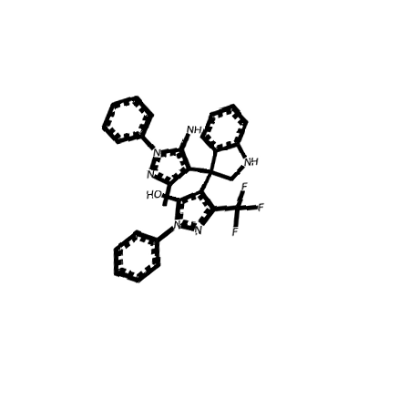 Cc1nn(-c2ccccc2)c(N)c1C1(c2c(C(F)(F)F)nn(-c3ccccc3)c2O)CNc2ccccc21